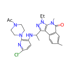 CCn1nc(C(C)Nc2ccc(Cl)nc2N2CCN(C(C)=O)CC2)c2c3ccc(C)cc3c(=O)n(C)c21